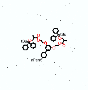 C=C(CO[Si](c1ccccc1)(c1ccccc1)C(C)(C)C)C(=O)OCCOc1cc(OCCOC(=O)C(=C)CO[Si](c2ccccc2)(c2ccccc2)C(C)(C)C)cc(C2CCC(CCCCC)CC2)c1